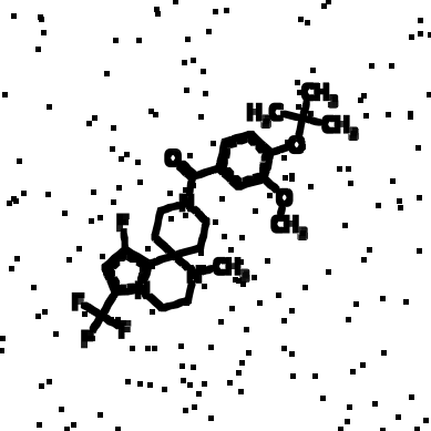 COc1cc(C(=O)N2CCC3(CC2)c2c(F)cc(C(F)(F)F)n2CCN3C)ccc1OC(C)(C)C